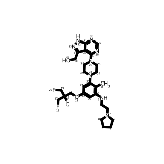 Cc1c(NCCN2CCCC2)cc(OCC(F)(CF)CF)cc1N1CCN(c2ncnc3[nH]nc(CO)c23)CC1